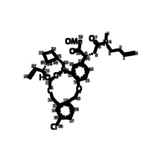 C=CCCN(C)C(=O)C[C@@H](C(=O)OC)c1ccc2c(c1)N(C[C@@H]1CC[C@H]1C(O)C=C)CCCCc1cc(Cl)ccc1CO2